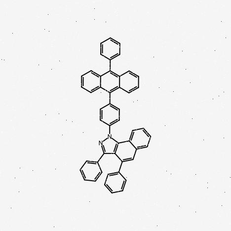 c1ccc(-c2c3ccccc3c(-c3ccc(-n4nc(-c5ccccc5)c5c(-c6ccccc6)cc6ccccc6c54)cc3)c3ccccc23)cc1